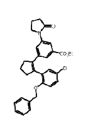 CCOC(=O)c1cc(C2=C(c3cc(Cl)ccc3OCc3ccccc3)CCC2)cc(N2CCCC2=O)c1